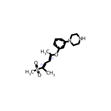 C/C(=C\C=C(/C)S(C)(=O)=O)Oc1cccc(N2CCNCC2)c1